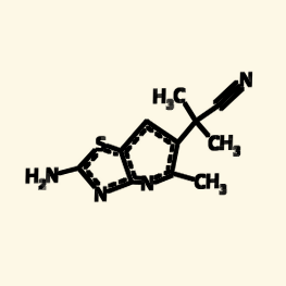 Cc1nc2nc(N)sc2cc1C(C)(C)C#N